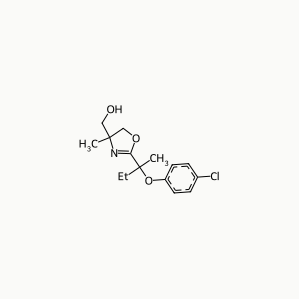 CCC(C)(Oc1ccc(Cl)cc1)C1=NC(C)(CO)CO1